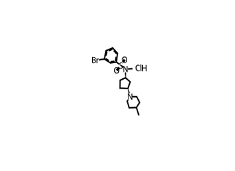 CC1CCN([C@H]2CC[C@@H](N(C)S(=O)(=O)c3cccc(Br)c3)C2)CC1.Cl